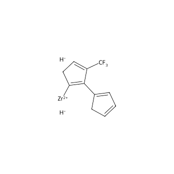 FC(F)(F)C1=CC[C]([Zr+2])=C1C1=CC=CC1.[H-].[H-]